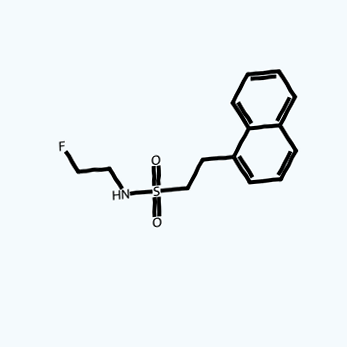 O=S(=O)(CCc1cccc2ccccc12)NCCF